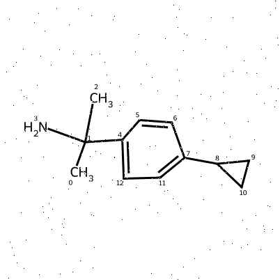 CC(C)(N)c1ccc(C2CC2)cc1